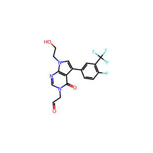 O=CCn1cnc2c(c(-c3ccc(F)c(C(F)(F)F)c3)cn2CCO)c1=O